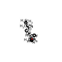 CC1(C)CCN(C(C)(C)C=C(C#N)C(=O)N2CCCC(OC(=O)N[C@@H](Cc3ccc(F)cc3)B3O[C@@H]4C[C@@H]5C[C@@H](C5(C)C)[C@]4(C)O3)C2)C1